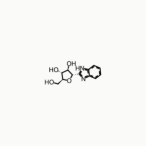 OC[C@@H]1O[C@@H](c2nc3ccccc3[nH]2)[C@H](O)[C@H]1O